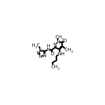 CCCCNc1c(C(=O)Nc2nnnn2C)nn(C)c(=O)c1C